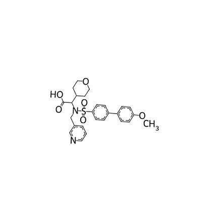 COc1ccc(-c2ccc(S(=O)(=O)N(Cc3cccnc3)C(C(=O)O)C3CCOCC3)cc2)cc1